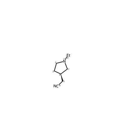 CCN1CC[C@H](CC#N)C1